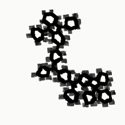 c1ccc(-c2c3ccccc3c(-c3ccccc3)c3cc(-c4ccc(N(c5ccccc5)c5ccc(N(c6ccccc6)c6ccc7c(c6)C(c6ccccc6)(c6ccccc6)c6ccccc6-7)cc5)cc4)ccc23)cc1